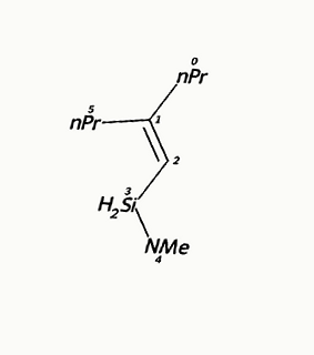 CCCC(=C[SiH2]NC)CCC